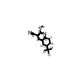 CSc1nc2c(cc1C#N)CC(C(C)(C)C)CC2